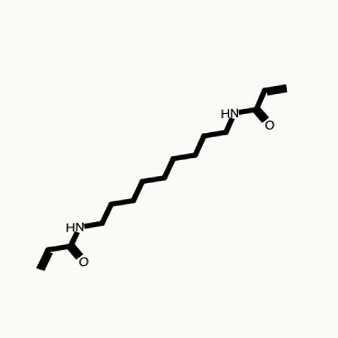 C=CC(=O)NCCCCCCCCCNC(=O)C=C